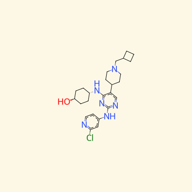 O[C@H]1CC[C@H](Nc2nc(Nc3ccnc(Cl)c3)ncc2C2CCN(CC3CCC3)CC2)CC1